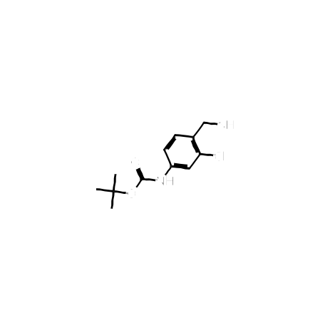 CC(C)(C)OC(=O)Nc1ccc(CS)c(Cl)c1